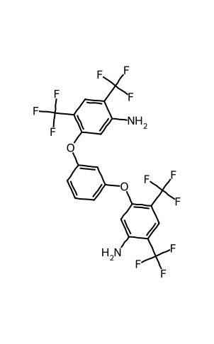 Nc1cc(Oc2cccc(Oc3cc(N)c(C(F)(F)F)cc3C(F)(F)F)c2)c(C(F)(F)F)cc1C(F)(F)F